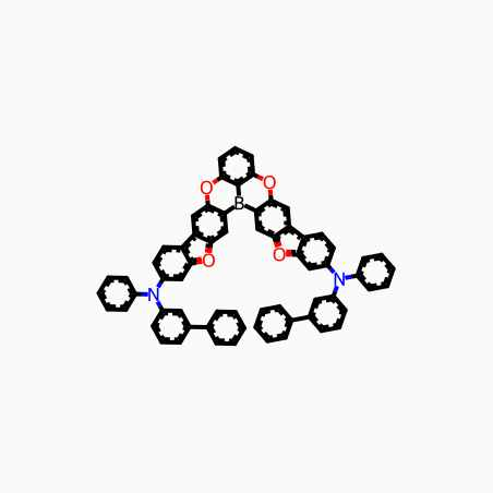 c1ccc(-c2cccc(N(c3ccccc3)c3ccc4c(c3)oc3cc5c(cc34)Oc3cccc4c3B5c3cc5oc6cc(N(c7ccccc7)c7cccc(-c8ccccc8)c7)ccc6c5cc3O4)c2)cc1